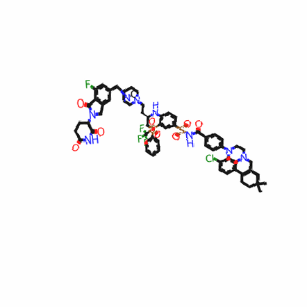 CC1(C)CCC(c2ccc(Cl)cc2)=C(CN2CCN(c3ccc(C(=O)NS(=O)(=O)c4ccc(N[C@H](CCN5CC6CCC5CN6Cc5cc(F)c6c(c5)CN(C5CCC(=O)NC5=O)C6=O)CSc5ccccc5)c(S(=O)(=O)C(F)(F)F)c4)cc3)CC2)C1